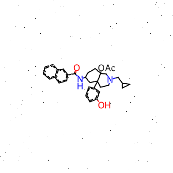 CC(=O)OC12CCC(NC(=O)c3ccc4ccccc4c3)CC1(c1cccc(O)c1)CCN(CC1CC1)C2